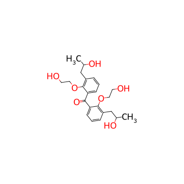 CC(O)Cc1cccc(C(=O)c2cccc(CC(C)O)c2OCCO)c1OCCO